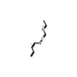 C=C/C=C\N=C=C/N=C/C